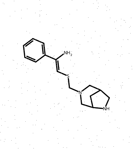 N/C(=C\SCN1CC2CNC(C2)C1)c1ccccc1